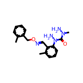 Cc1ccccc1CON=Cc1c(C)cccc1N(N)C(=O)N(C)N